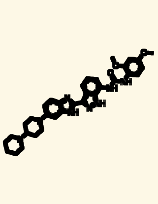 COc1ccc(NC(=O)Nc2cccc3c(-c4nc5ccc(N6CCC(N7CCCCC7)CC6)cc5[nH]4)n[nH]c23)c(OC)c1